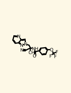 CC(C#N)(Cn1cc2ncccc2n1)NC(=O)c1ccc(OC(F)(F)F)cc1